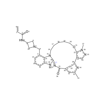 C=CC(=O)NC1CN(Cc2cccc3c2N2CCCCCOc4c(cnn4C)-c4cc(cc(C)n4)C(=O)/N=C/2N3)C1